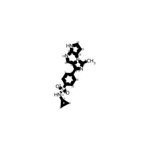 Cc1nc(-c2ccc(S(=O)(=O)NC3CC3)cc2)c2cnc3[nH]ccc3n12